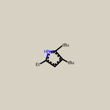 CCc1cc(C(C)(C)C)c(C(C)(C)C)[nH]1